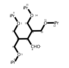 CC(C)OCC(COC(C)C)C([C]=O)C(COC(C)C)COC(C)C